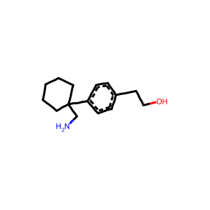 NCC1(c2ccc(CCO)cc2)CCCCC1